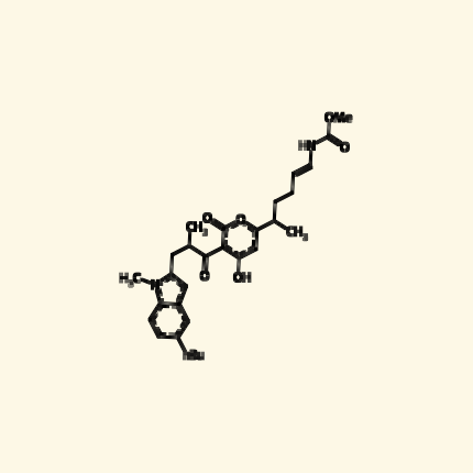 CCCCc1ccc2c(c1)cc(CC(C)C(=O)c1c(O)cc(C(C)CC/C=C/NC(=O)OC)oc1=O)n2C